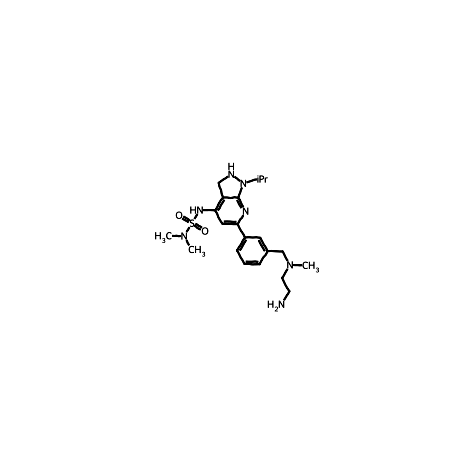 CC(C)N1NCc2c(NS(=O)(=O)N(C)C)cc(-c3cccc(CN(C)CCN)c3)nc21